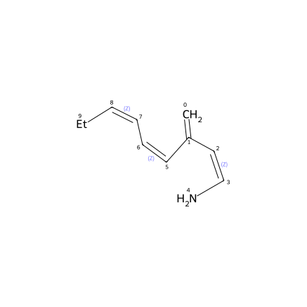 C=C(/C=C\N)/C=C\C=C/CC